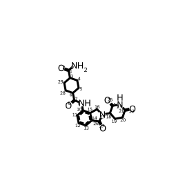 NC(=O)C1CCC(C(=O)Nc2cccc3c2CN(C2CCC(=O)NC2=O)C3=O)CC1